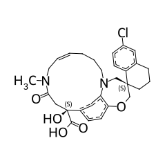 CN1CC=CCCCN2C[C@@]3(CCCc4cc(Cl)ccc43)COc3ccc(cc32)[C@](O)(C(=O)O)CC1=O